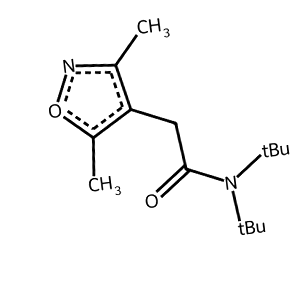 Cc1noc(C)c1CC(=O)N(C(C)(C)C)C(C)(C)C